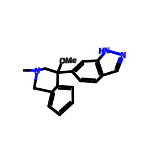 COC1(c2ccc3cn[nH]c3c2)CN(C)Cc2ccccc21